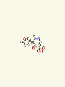 CC1=NC=C(C(=O)O)C(=O)C1C1=COC=CC1